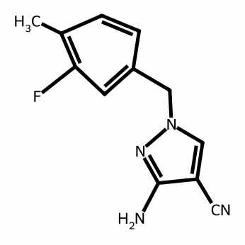 Cc1ccc(Cn2cc(C#N)c(N)n2)cc1F